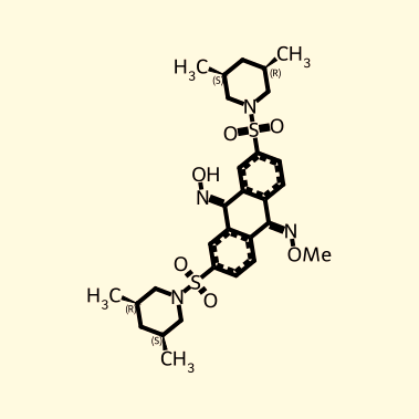 [CH2]ON=C1c2ccc(S(=O)(=O)N3C[C@H](C)C[C@H](C)C3)cc2C(=NO)c2cc(S(=O)(=O)N3C[C@H](C)C[C@H](C)C3)ccc21